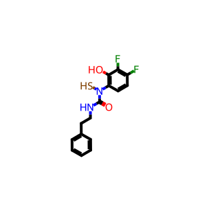 O=C(NCCc1ccccc1)N(S)c1ccc(F)c(F)c1O